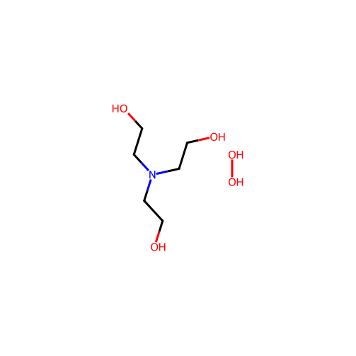 OCCN(CCO)CCO.OO